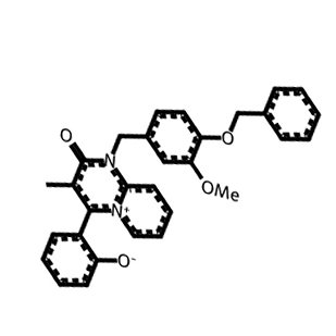 COc1cc(Cn2c(=O)c(C)c(-c3ccccc3[O-])[n+]3ccccc23)ccc1OCc1ccccc1